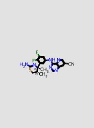 C[C@@H]1CSC(N)=N[C@]1(C)c1cc(Nc2ncnc3cc(C#N)cnc23)cc(F)c1F